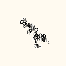 CCn1c(-c2nonc2N)nc2c(C#CC(C)(C)O)ncc(OC[C@H]3CCCC(C(=O)[C@@H]4CC(F)(F)CN4C(=O)CNC(=O)c4ccnc5ccccc45)C3)c21